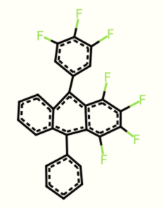 Fc1cc(-c2c3ccccc3c(-c3ccccc3)c3c(F)c(F)c(F)c(F)c23)cc(F)c1F